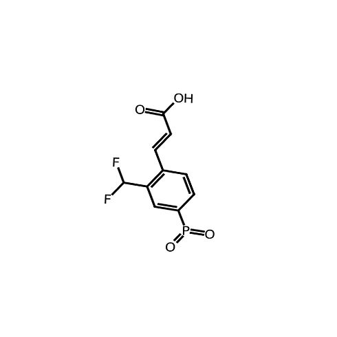 O=C(O)C=Cc1ccc(P(=O)=O)cc1C(F)F